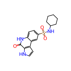 O=c1[nH]c2ccc(S(=O)(=O)NC3CCCCC3)cc2c2cc[nH]c12